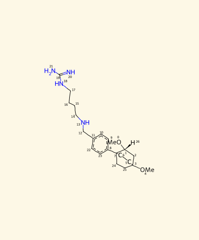 CO[C@@H]1CC2(OC)CCC1(c1ccc(CN[CH]CCCNC(=N)N)cc1)CC2